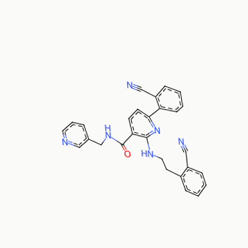 N#Cc1ccccc1CCNc1nc(-c2ccccc2C#N)ccc1C(=O)NCc1cccnc1